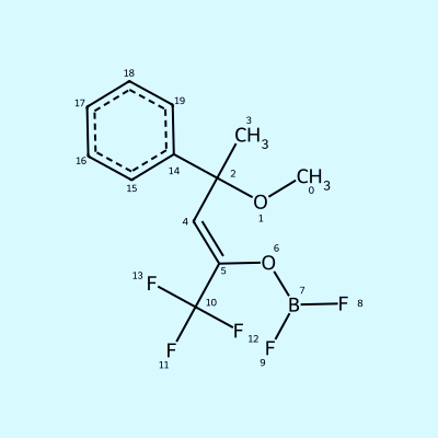 COC(C)(/C=C(\OB(F)F)C(F)(F)F)c1ccccc1